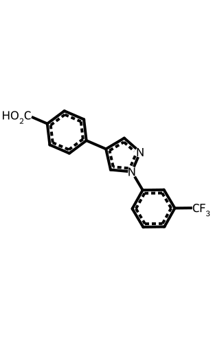 O=C(O)c1ccc(-c2cnn(-c3cccc(C(F)(F)F)c3)c2)cc1